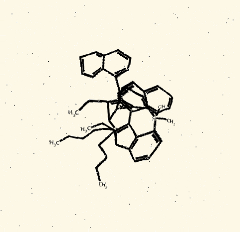 CCC[CH2][Zr]1([CH2]CCC)[CH]2C(CC)=C(c3cccc4ccccc34)c3c2cccc3[Si](C)(C)c2cccc3c2C(c2cccc4ccccc24)=C(CC)[CH]31